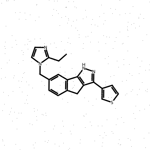 CCc1nccn1Cc1ccc2c(c1)-c1[nH]nc(-c3ccsc3)c1C2